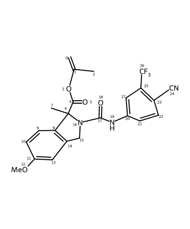 C=C(C)OC(=O)C1(C)c2ccc(OC)cc2CN1C(=O)Nc1ccc(C#N)c(C(F)(F)F)c1